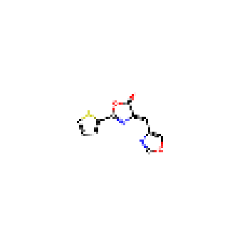 O=C1OC(c2cccs2)=NC1=Cc1cocn1